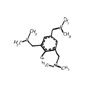 CN(C)Cc1cc(CN(C)C)c([O])c(CN(C)C)c1